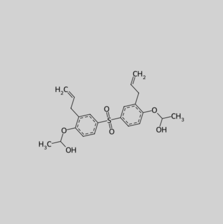 C=CCc1cc(S(=O)(=O)c2ccc(OC(C)O)c(CC=C)c2)ccc1OC(C)O